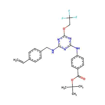 C=Cc1ccc(CNc2nc(Nc3ccc(C(=O)OC(C)(C)C)cc3)nc(OCC(F)(F)F)n2)cc1